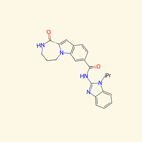 CC(C)n1c(NC(=O)c2ccc3cc4n(c3c2)CCCNC4=O)nc2ccccc21